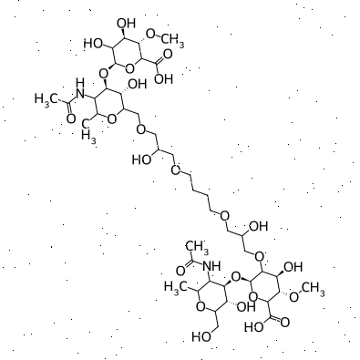 CO[C@@H]1C(C(=O)O)O[C@@H](O[C@@H]2C(NC(C)=O)C(C)OC(COCC(O)COCCCCOCC(O)COC3[C@H](O[C@@H]4C(NC(C)=O)C(C)OC(CO)[C@H]4O)OC(C(=O)O)[C@@H](OC)[C@@H]3O)[C@H]2O)C(O)[C@H]1O